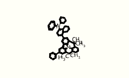 CC1(C)c2cccc3c2-n2c4c1cc(-c1ccccc1)cc4c1cc(-c4ccc(N(c5ccccc5)c5ccccc5)c5ccccc45)cc(c12)C3(C)C